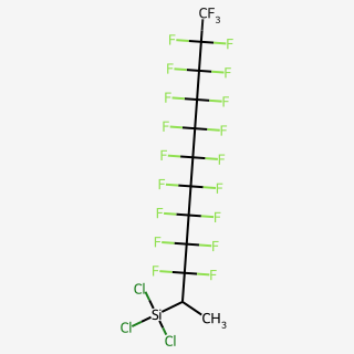 CC(C(F)(F)C(F)(F)C(F)(F)C(F)(F)C(F)(F)C(F)(F)C(F)(F)C(F)(F)C(F)(F)C(F)(F)F)[Si](Cl)(Cl)Cl